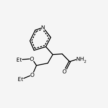 CCOC(CC(CC(N)=O)c1cccnc1)OCC